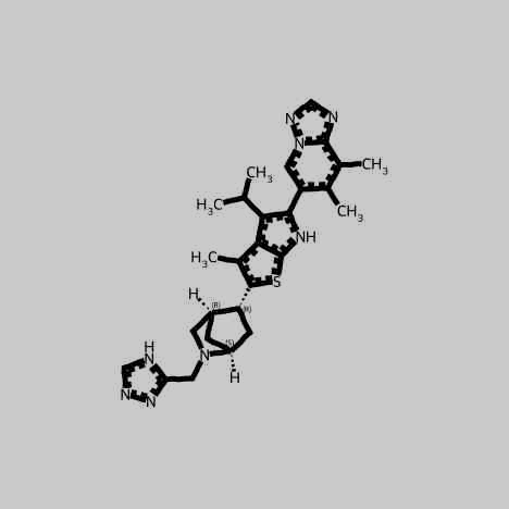 Cc1c(-c2[nH]c3sc([C@@H]4C[C@@H]5C[C@H]4CN5Cc4nnc[nH]4)c(C)c3c2C(C)C)cn2ncnc2c1C